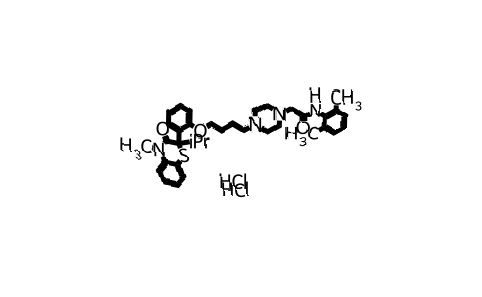 Cc1cccc(C)c1NC(=O)CN1CCN(CCCCOc2ccccc2C2(C(C)C)Sc3ccccc3N(C)C2=O)CC1.Cl.Cl